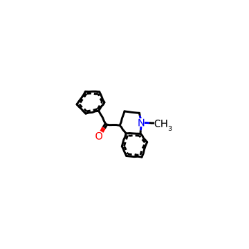 CN1CCC(C(=O)c2ccccc2)c2ccccc21